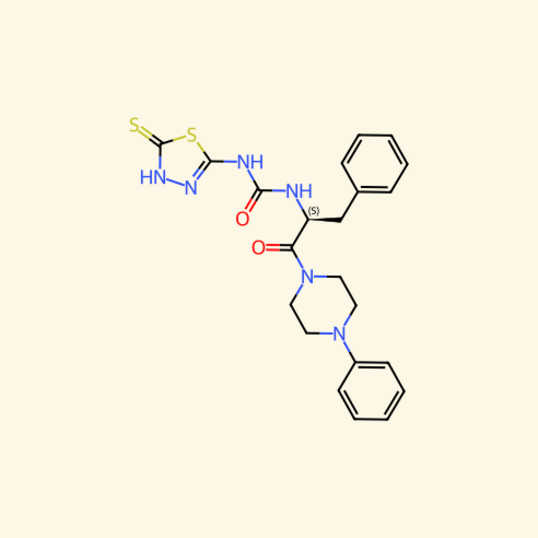 O=C(Nc1n[nH]c(=S)s1)N[C@@H](Cc1ccccc1)C(=O)N1CCN(c2ccccc2)CC1